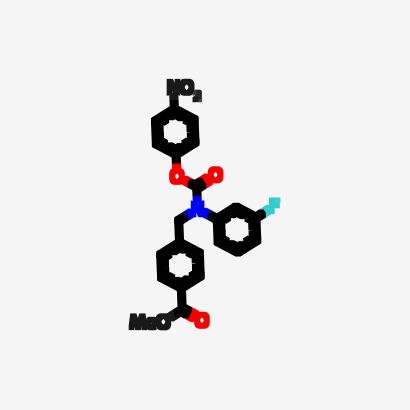 COC(=O)c1ccc(CN(C(=O)Oc2ccc([N+](=O)[O-])cc2)c2cccc(F)c2)cc1